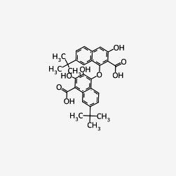 CC(C)(C)c1ccc2cc(O)c(C(=O)O)c(Oc3c(O)c(O)c(C(=O)O)c4cc(C(C)(C)C)ccc34)c2c1